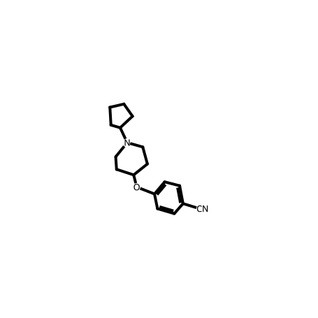 N#Cc1ccc(OC2CCN(C3CCCC3)CC2)cc1